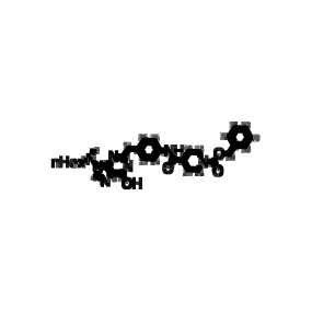 CCCCCCN(C)n1cnc2c(O)nc(Cc3ccc(NC(=O)C4CCN(C(=O)OCc5ccccc5)CC4)cc3)nc21